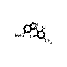 CSc1ccc2cnn(-c3c(Cl)cc(C(F)(F)F)cc3Cl)c2c1